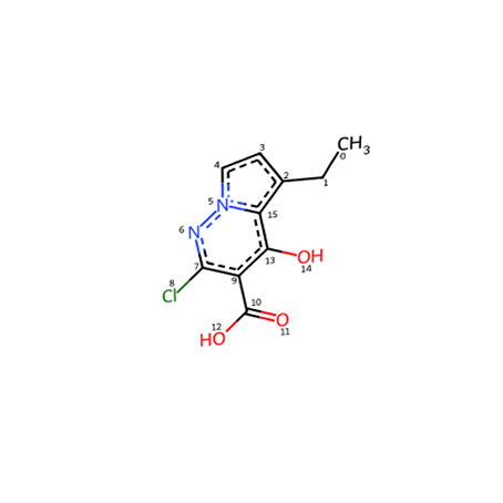 CCc1ccn2nc(Cl)c(C(=O)O)c(O)c12